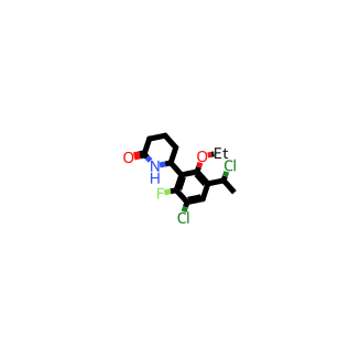 CCOc1c(C(C)Cl)cc(Cl)c(F)c1C1CCCC(=O)N1